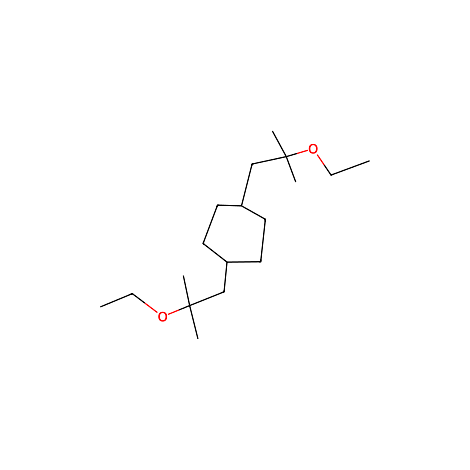 CCOC(C)(C)CC1CCC(CC(C)(C)OCC)CC1